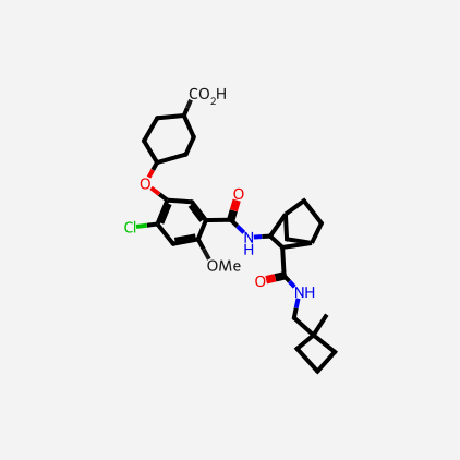 COc1cc(Cl)c(OC2CCC(C(=O)O)CC2)cc1C(=O)NC1C2CCC(C2)C1C(=O)NCC1(C)CCC1